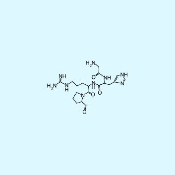 N=C(N)NCCCC(NC(=O)C(Cc1c[nH]cn1)NC(=O)CN)C(=O)N1CCCC1[C]=O